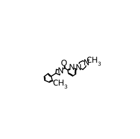 Cc1ccccc1C1CN(C(=O)c2cccc(N3CCN(C)CC3)n2)C1